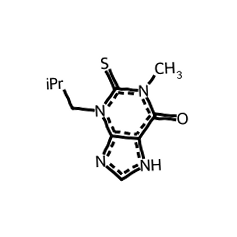 CC(C)Cn1c(=S)n(C)c(=O)c2[nH]cnc21